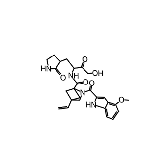 C=CC12CN(C(=O)c3cc4c(OC)cccc4[nH]3)C(C(=O)NC(CC3CCNC3=O)C(=O)CO)(C1)C2